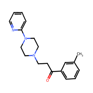 Cc1cccc(C(=O)CCN2CCN(c3ccccn3)CC2)c1